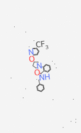 O=C(NCc1ccccc1)c1ccccc1N1CC[C@@H](Oc2ccc(C(F)(F)F)cn2)C1